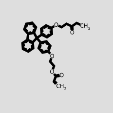 C=CC(=O)OCCOc1ccc(C2(c3ccc(OCCC(=O)CC)cc3)c3ccccc3-c3ccccc32)cc1